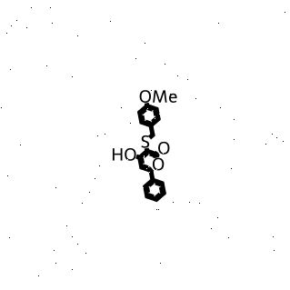 COc1ccc(CSc2c(O)cc(-c3ccccc3)oc2=O)cc1